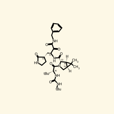 CC(C)(C)NC(=O)N[C@@H](C(=O)N1C[C@H]2[C@@H]([C@H]1C(=O)N[C@@H](C[C@@H]1CCNC1=O)C(=O)C(=O)NCc1ccccc1)C2(C)C)C(C)(C)C